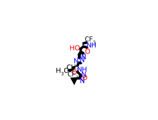 CC(C)(CC[C@H](NC(=O)c1nonc1C1CC1)c1cn2ncc([C@H](O)[C@H]3C[C@@H](C(F)(F)F)NC3=O)cc2n1)C(F)(F)F